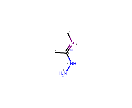 C/P=C(\C)NN